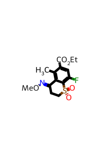 CCOC(=O)c1cc(F)c2c(c1C)C(=NOC)CCS2(=O)=O